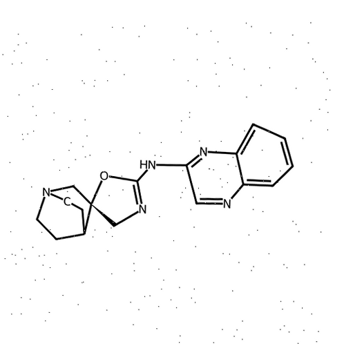 c1ccc2nc(NC3=NC[C@@]4(CN5CCC4CC5)O3)cnc2c1